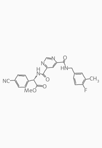 COC(=O)[C@H](NC(=O)c1cc(C(=O)NCc2ccc(F)c(C)c2)ncn1)c1ccc(C#N)cc1